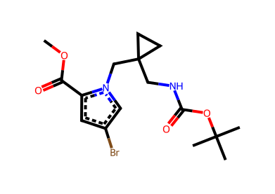 COC(=O)c1cc(Br)cn1CC1(CNC(=O)OC(C)(C)C)CC1